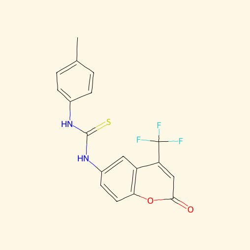 Cc1ccc(NC(=S)Nc2ccc3oc(=O)cc(C(F)(F)F)c3c2)cc1